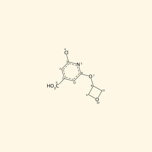 O=C(O)c1cc(Cl)nc(OC2COC2)c1